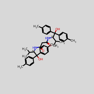 Cc1ccc(C(O)(c2ccc(C)cc2)[C@H](NC(=O)CC(=O)N[C@H](C(C)C)C(O)(c2ccc(C)cc2)c2ccc(C)cc2)C(C)C)cc1